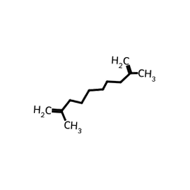 C=C(C)CCCCCCC(=C)C